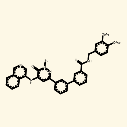 CCn1nc(-c2cccc(-c3cccc(C(=O)NCc4ccc(OC)c(OC)c4)c3)c2)cc(Nc2cncc3ccccc23)c1=O